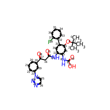 CC(C)(C)Oc1cc(NC(=O)O)c(NC(=O)CC(=O)c2cccc(-n3ccnn3)c2)cc1-c1ccccc1F